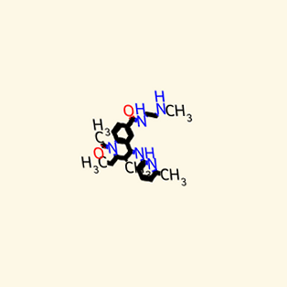 CCC1[C@H](C)C(Nc2cccc(C)n2)c2cc(C(=O)NCCNC)ccc2N1C(C)=O